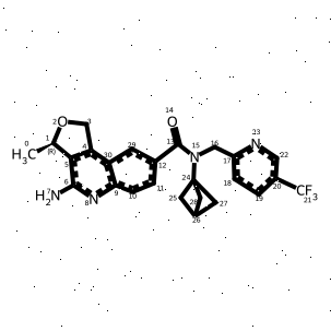 C[C@H]1OCc2c1c(N)nc1ccc(C(=O)N(Cc3ccc(C(F)(F)F)cn3)C34CC(C3)C4)cc21